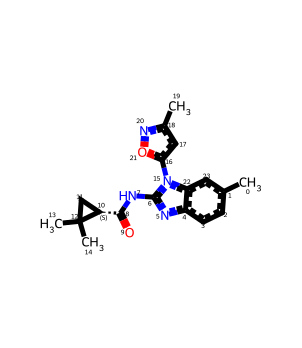 Cc1ccc2nc(NC(=O)[C@H]3CC3(C)C)n(-c3cc(C)no3)c2c1